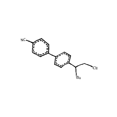 CC(C)(C)[C](CC#N)c1ccc(-c2ccc(C#N)cc2)cc1